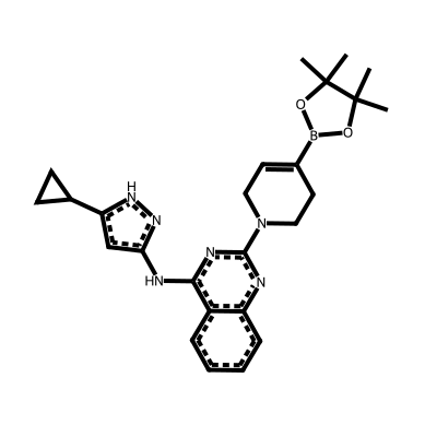 CC1(C)OB(C2=CCN(c3nc(Nc4cc(C5CC5)[nH]n4)c4ccccc4n3)CC2)OC1(C)C